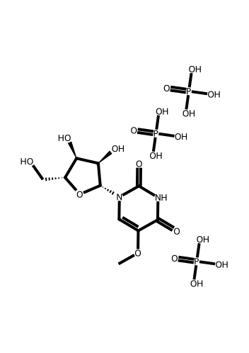 COc1cn([C@@H]2O[C@H](CO)[C@@H](O)[C@H]2O)c(=O)[nH]c1=O.O=P(O)(O)O.O=P(O)(O)O.O=P(O)(O)O